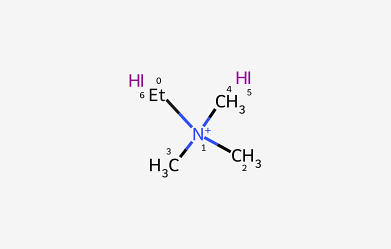 CC[N+](C)(C)C.I.I